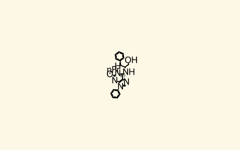 CCCOC1=Nc2c(ncn2-c2ccccc2)[C@H](NC(CO)Cc2ccccc2)N1